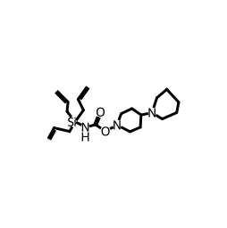 C=CC[Si](CC=C)(CC=C)NC(=O)ON1CCC(N2CCCCC2)CC1